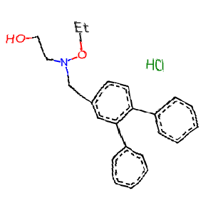 CCON(CCO)Cc1ccc(-c2ccccc2)c(-c2ccccc2)c1.Cl